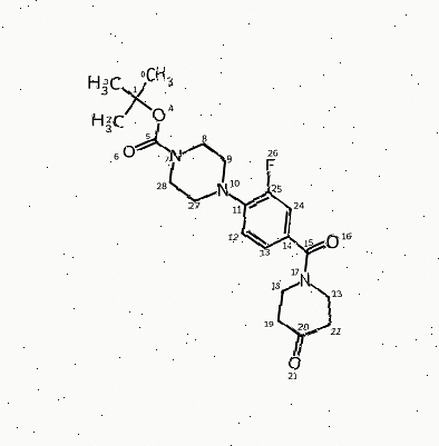 CC(C)(C)OC(=O)N1CCN(c2ccc(C(=O)N3CCC(=O)CC3)cc2F)CC1